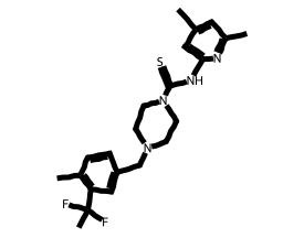 Cc1cc(C)nc(NC(=S)N2CCN(Cc3ccc(C)c(C(C)(F)F)c3)CC2)c1